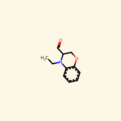 CCN1c2ccccc2OCC1C=O